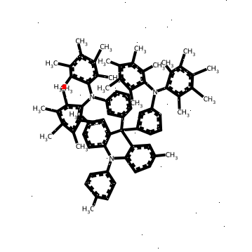 Cc1ccc(N2c3ccc(C)cc3C(c3cccc(N(c4c(C)c(C)c(C)c(C)c4C)c4c(C)c(C)c(C)c(C)c4C)c3)(c3cccc(N(c4c(C)c(C)c(C)c(C)c4C)c4c(C)c(C)c(C)c(C)c4C)c3)c3cc(C)ccc32)cc1